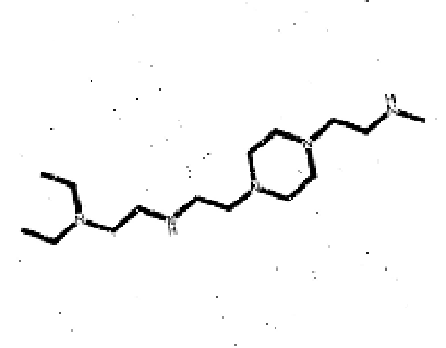 CCN(CC)CCNCCN1CCN(CCNC)CC1